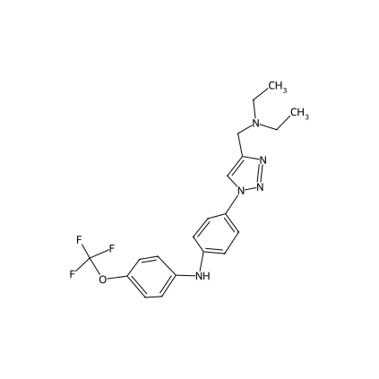 CCN(CC)Cc1cn(-c2ccc(Nc3ccc(OC(F)(F)F)cc3)cc2)nn1